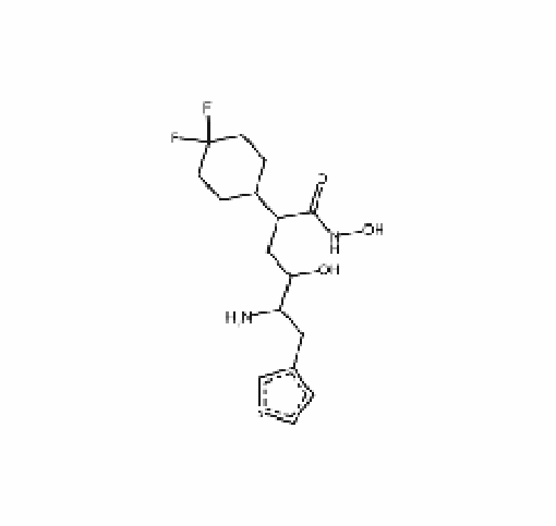 NC(Cc1ccsc1)C(O)CC(C(=O)NO)C1CCC(F)(F)CC1